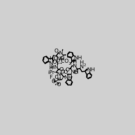 CC(C)[C@H](NC(=O)[C@H](CC(C(F)(F)F)S(C)(=O)=O)NC(=O)[C@H](Cc1ccccc1)NC(=O)[C@H](Cc1c[nH]c2ccccc12)NC(=O)[C@@H](N)Cc1c[nH]c2ccccc12)C(=O)N[C@@H](CC(=O)O)C(=O)N[C@@H](Cc1c[nH]c2ccccc12)C(=O)N(C)[C@@H](C)C(=O)O